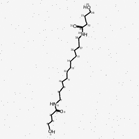 O=C(CCCO)NCCCCCCCCCCCCNC(=O)CCCO